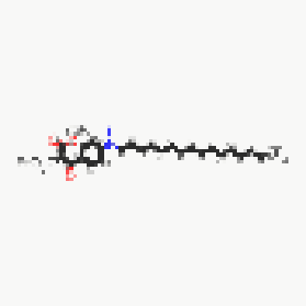 CCOC(=O)C(C(=O)OC(C)(C)C)C(=O)c1ccc(NCCCCCCCCCCCCCCCC(F)(F)F)cc1